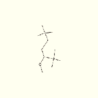 COC(CCC(C)(C)C)C(C)(C)C